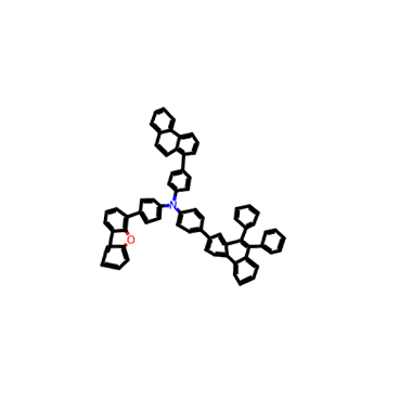 c1ccc(-c2c(-c3ccccc3)c3cc(-c4ccc(N(c5ccc(-c6cccc7c6ccc6ccccc67)cc5)c5ccc(-c6cccc7c6oc6ccccc67)cc5)cc4)ccc3c3ccccc23)cc1